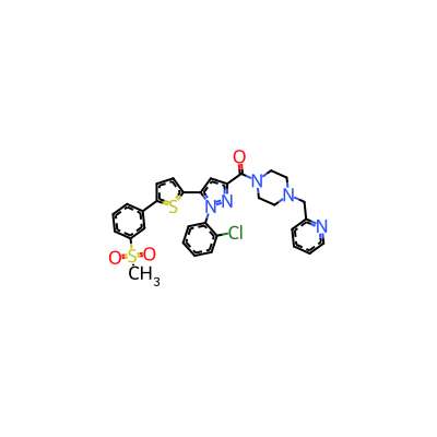 CS(=O)(=O)c1cccc(-c2ccc(-c3cc(C(=O)N4CCN(Cc5ccccn5)CC4)nn3-c3ccccc3Cl)s2)c1